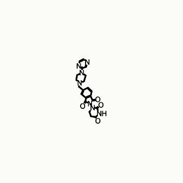 O=C1CCN(N2C(=O)c3ccc(CN4CCN(c5cnccn5)CC4)cc3C2=O)C(=O)N1